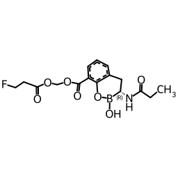 CCC(=O)N[C@H]1Cc2cccc(C(=O)OCOC(=O)CCF)c2OB1O